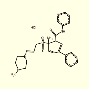 CN1CCN(C=CCS(=O)(=O)C2(N)C=CC(c3ccccc3)=CC2C(=O)Nc2cccnc2)CC1.Cl